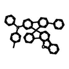 Cc1ccc(N(c2ccccc2)c2ccc3c(c2)C2(c4cc(-c5ccccc5)ccc4-3)c3ccccc3-c3c2ccc2c3oc3ccccc32)cc1